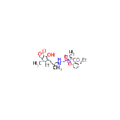 CCOC(=O)C(C)N(Oc1ccccc1)[PH](=O)CCNCC(C)=CCc1c(O)c2c(c(C)c1CC)COC2=O